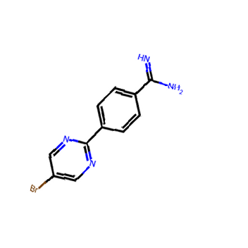 N=C(N)c1ccc(-c2ncc(Br)cn2)cc1